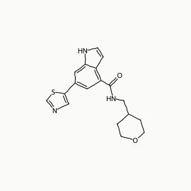 O=C(NCC1CCOCC1)c1cc(-c2cncs2)cc2[nH]ccc12